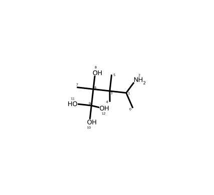 CC(N)C(C)(C)C(C)(O)C(O)(O)O